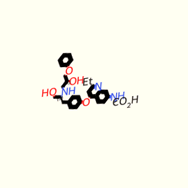 CCc1cc(Oc2ccc(C[C@@H](CO)NC[C@H](O)COc3ccccc3)cc2)c2ccc(NC(=O)O)cc2n1